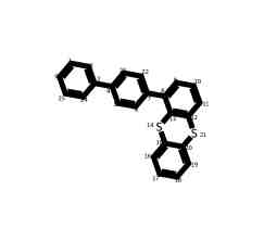 c1ccc(-c2ccc(-c3cccc4c3Sc3ccccc3S4)cc2)cc1